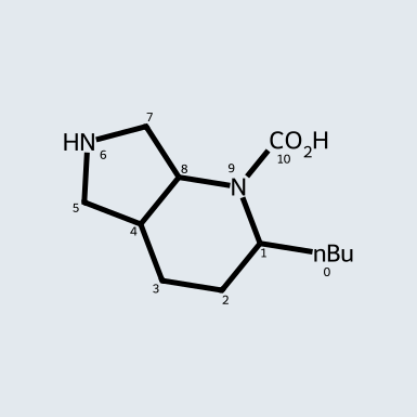 CCCCC1CCC2CNCC2N1C(=O)O